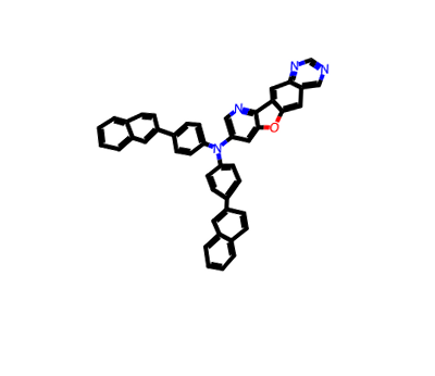 c1ccc2cc(-c3ccc(N(c4ccc(-c5ccc6ccccc6c5)cc4)c4cnc5c(c4)oc4cc6cncnc6cc45)cc3)ccc2c1